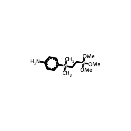 CO[Si](CC[Si](C)(C)c1ccc(N)cc1)(OC)OC